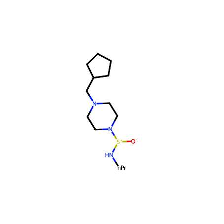 CCCN[S+]([O-])N1CCN(CC2CCCC2)CC1